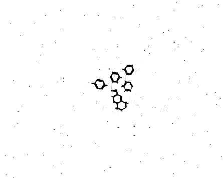 Cc1cc2c3c(c1)N(c1ccc(C(C)(C)C)cc1)c1sc4cc5c(cc4c1B3c1cc(C(C)(C)C)ccc1N2c1ccc(C(C)(C)C)cc1C)C(C)(C)CCC5(C)C